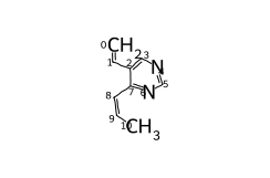 C=Cc1cncnc1/C=C\C